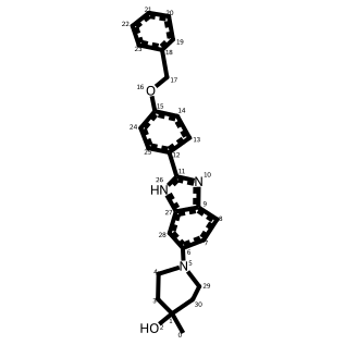 CC1(O)CCN(c2ccc3nc(-c4ccc(OCc5ccccc5)cc4)[nH]c3c2)CC1